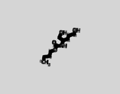 CCCCOC(=O)NC(CO)CCCO